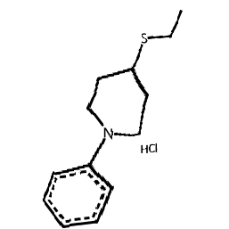 CCSC1CCN(c2ccccc2)CC1.Cl